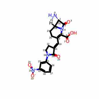 N[C@@H]1C(=O)N2C(C(=O)O)=C(C=C3CCN(c4cccc([N+](=O)[O-])c4)C3=O)CC[C@H]12